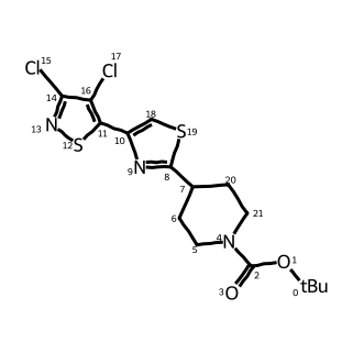 CC(C)(C)OC(=O)N1CCC(c2nc(-c3snc(Cl)c3Cl)cs2)CC1